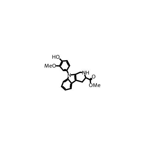 COC(=O)C1Cc2c(n(-c3ccc(O)c(OC)c3)c3ccccc23)CN1